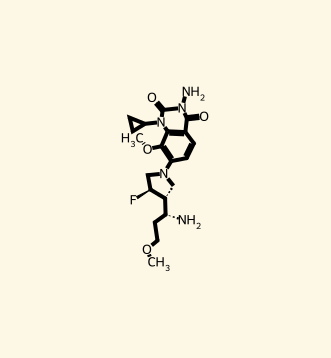 COCC[C@@H](N)[C@H]1CN(c2ccc3c(=O)n(N)c(=O)n(C4CC4)c3c2OC)C[C@@H]1F